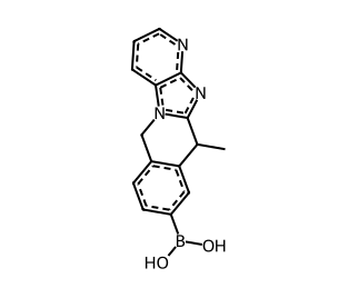 CC1c2cc(B(O)O)ccc2Cn2c1nc1ncccc12